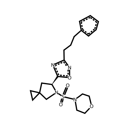 O=S(=O)(N1CCOCC1)N1CC2(CC2)C[C@H]1c1nc(CCCc2ccccc2)no1